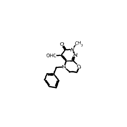 Cn1nc2c(c(C=O)c1=O)N(Cc1ccccc1)CCO2